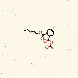 CCCC=COC(=O)c1ccccc1C(=O)OC(C)=O